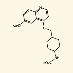 COc1ccc2nccc(OCC3CCC(NC(=O)O)CC3)c2c1